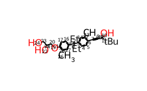 CCC(CC)(c1ccc(C#C[C@@H](O)C(C)(C)C)c(C)c1)c1ccc(OC[C@@H](O)CO)c(C)c1